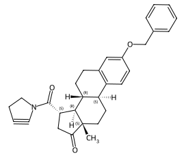 C[C@]12CC[C@@H]3c4ccc(OCc5ccccc5)cc4CC[C@H]3[C@@H]1[C@@H](C(=O)N1C#CCC1)CC2=O